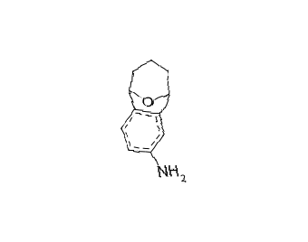 Nc1ccc2c(c1)C1CCCC2O1